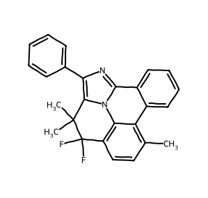 Cc1ccc2c3c1c1ccccc1c1nc(-c4ccccc4)c(n13)C(C)(C)C2(F)F